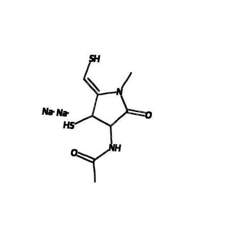 CC(=O)NC1C(=O)N(C)C(=CS)C1S.[Na].[Na]